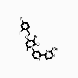 Cc1cc(OCc2ccc(F)cc2F)c(Br)c(=O)n1-c1ccnc(-c2ccnc(C(C)(C)C)n2)c1